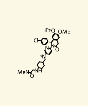 CNC(=O)CNC1CCC(CN(C)c2ccc(N3C(=O)Cc4cc(OC)c(OC(C)C)cc4[C@@H]3c3ccc(Cl)cc3)nc2)CC1